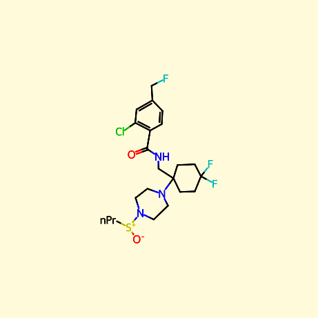 CCC[S+]([O-])N1CCN(C2(CNC(=O)c3ccc(CF)cc3Cl)CCC(F)(F)CC2)CC1